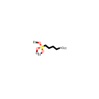 CCCCCCCCCCCCS(OCC)(OCC)OCC